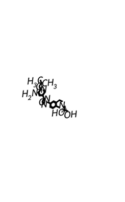 CC(C)Oc1ncc(-c2nc(-c3ccc4c(c3)CCN(C[C@@H](O)CO)C4)no2)cc1N